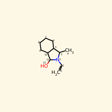 C=CN1C(C)C2CCCCC2C1O